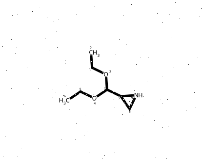 CCOC(OCC)C1CN1